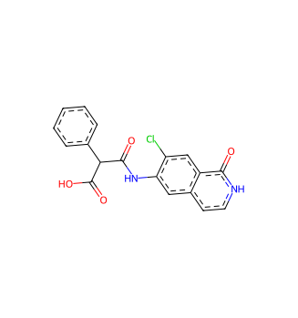 O=C(O)C(C(=O)Nc1cc2cc[nH]c(=O)c2cc1Cl)c1ccccc1